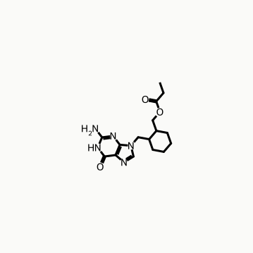 CCC(=O)OCC1CCCCC1Cn1cnc2c(=O)[nH]c(N)nc21